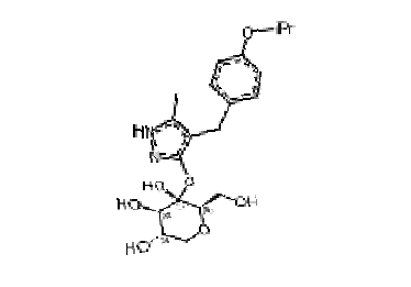 Cc1[nH]nc(O[C@@]2(O)[C@H](O)[C@@H](O)CO[C@@H]2CO)c1Cc1ccc(OC(C)C)cc1